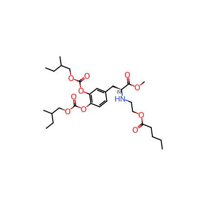 CCCCC(=O)OCCN[C@@H](Cc1ccc(OC(=O)OCC(C)CC)c(OC(=O)OCC(C)CC)c1)C(=O)OC